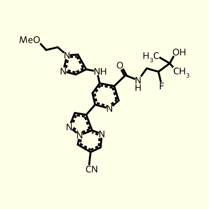 COCCn1cc(Nc2cc(-c3cnn4cc(C#N)cnc34)ncc2C(=O)NCC(F)C(C)(C)O)cn1